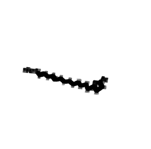 CCCCCC=CCC=CCCCCCCCCc1ccc(C(C)=O)o1